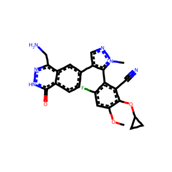 COc1cc(F)c(-c2c(-c3ccc4c(=O)[nH]nc(CN)c4c3)cnn2C)c(C#N)c1OC1CC1